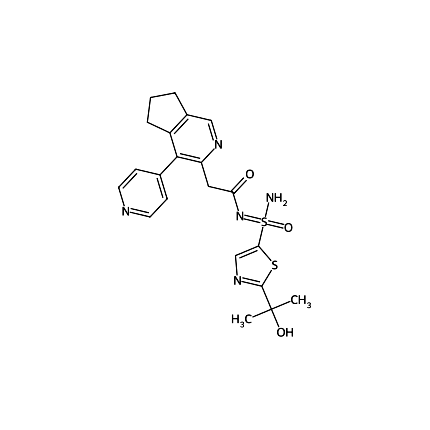 CC(C)(O)c1ncc(S(N)(=O)=NC(=O)Cc2ncc3c(c2-c2ccncc2)CCC3)s1